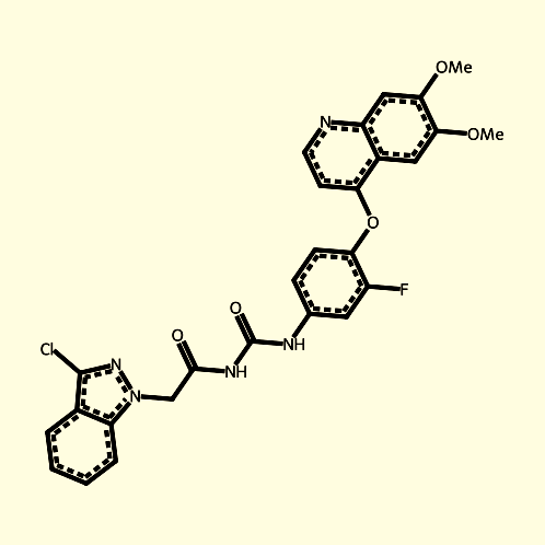 COc1cc2nccc(Oc3ccc(NC(=O)NC(=O)Cn4nc(Cl)c5ccccc54)cc3F)c2cc1OC